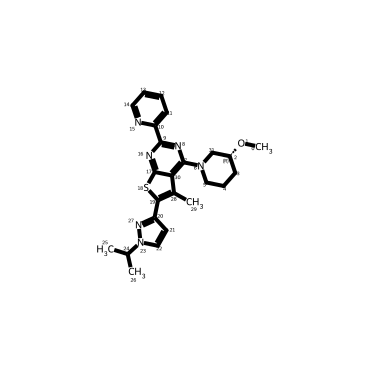 CO[C@@H]1CCCN(c2nc(-c3ccccn3)nc3sc(-c4ccn(C(C)C)n4)c(C)c23)C1